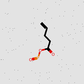 C=CCCC(=O)OP=O